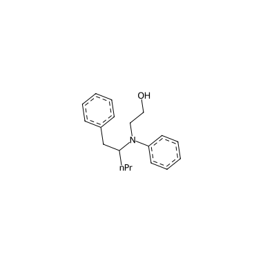 CCCC(Cc1ccccc1)N(CCO)c1ccccc1